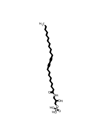 CCCCCCCCCCCCC#CC#CCCCCCCCCC(=O)NCC(O)COP(=O)(O)O